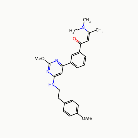 COc1ccc(CCNc2cc(-c3cccc(C(=O)C=C(C)N(C)C)c3)nc(OC)n2)cc1